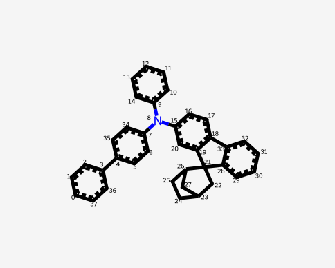 c1ccc(-c2ccc(N(c3ccccc3)c3ccc4c(c3)C3(CC5CCC3C5)c3ccccc3-4)cc2)cc1